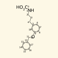 O=C(O)NCCCc1cccc(OCc2ccccc2)c1